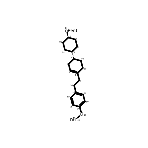 CCCCC[C@H]1CC[C@H](C2CC=C(CCc3ccc(OCCC)cc3)CC2)CC1